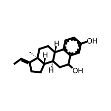 CC=C1CC[C@H]2[C@@H]3CC(O)c4cc(O)ccc4[C@H]3CC[C@]12C